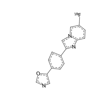 [18F]c1ccc2nc(-c3ccc(-c4cnco4)cc3)cn2c1